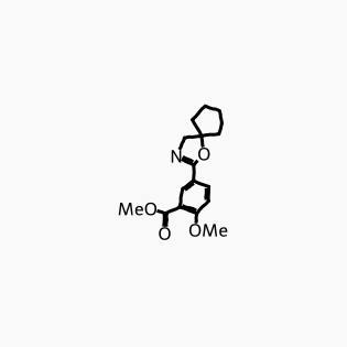 COC(=O)c1cc(C2=NCC3(CCCCC3)O2)ccc1OC